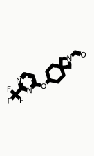 O=CN1CC2(CCC(Oc3ccnc(C(F)(F)F)n3)CC2)C1